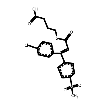 CS(=O)(=O)c1ccc(C(=CC(=O)SCCCC(=O)O)c2ccc(Cl)cc2)cc1